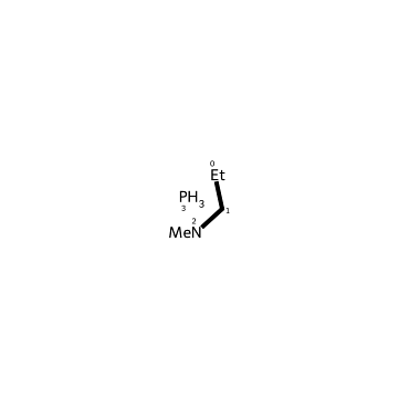 CCCNC.P